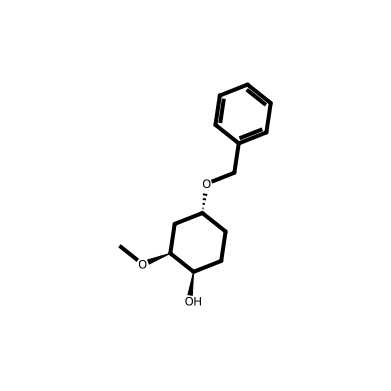 CO[C@H]1C[C@H](OCc2ccccc2)CC[C@H]1O